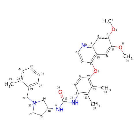 COc1cc2nccc(Oc3ccc(NC(=O)NC4CCN(Cc5ccccc5C)C4)c(C)c3C)c2cc1OC